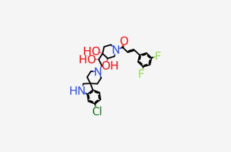 O=C(/C=C/c1cc(F)cc(F)c1)N1CC[C@](O)([C@@H](O)CN2CCC3(CC2)CNc2cc(Cl)ccc23)[C@H](O)C1